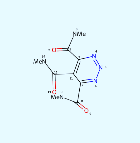 CNC(=O)c1nnnc(C(=O)NC)c1C(=O)NC